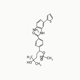 C[PH](=O)OC(CCC(C)(C)O)c1ccc(C(=O)Nc2cc(-c3cccs3)ccc2N)cc1